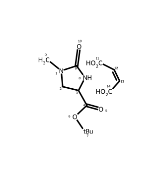 CN1CC(C(=O)OC(C)(C)C)NC1=O.O=C(O)/C=C\C(=O)O